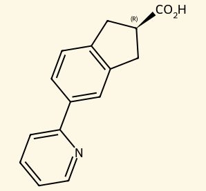 O=C(O)[C@@H]1Cc2ccc(-c3ccccn3)cc2C1